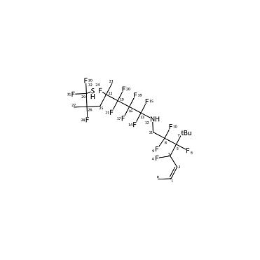 C/C=C\C(F)C(F)(C(C)(C)C)C(F)(F)CNC(F)(F)C(F)(F)C(F)(F)C(C)(F)CC(C)(F)C(F)(F)S